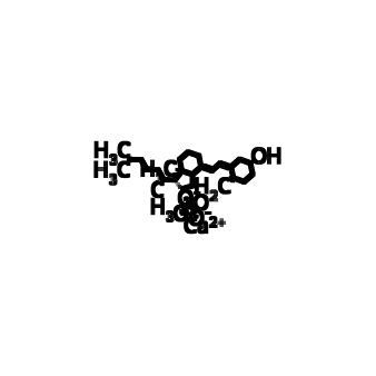 C=C1CC[C@H](O)C/C1=C/C=C1\CCC[C@@]2(C)C1CC[C@@H]2[C@H](C)CCCC(C)C.O=S(=O)([O-])[O-].[Ca+2]